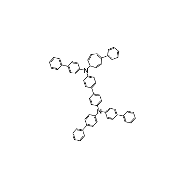 C1=CC(N(c2ccc(-c3ccccc3)cc2)c2ccc(-c3ccc(N(c4ccc(-c5ccccc5)cc4)c4ccc(-c5ccccc5)cc4)cc3)cc2)C=CC(c2ccccc2)=C1